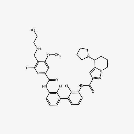 COc1cc(C(=O)Nc2cccc(-c3cccc(NC(=O)c4cc5n(n4)CCCC5N4CCCC4)c3Cl)c2Cl)cc(F)c1CNCCO